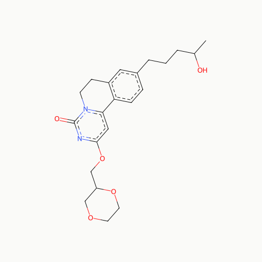 CC(O)CCCc1ccc2c(c1)CCn1c-2cc(OCC2COCCO2)nc1=O